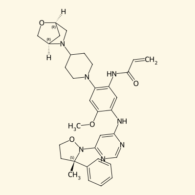 C=CC(=O)Nc1cc(Nc2cc(N3OCC[C@@]3(C)c3ccccc3)ncn2)c(OC)cc1N1CCC(N2C[C@H]3C[C@@H]2CO3)CC1